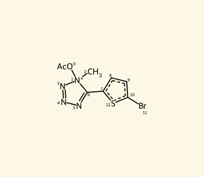 CC(=O)O[N+]1(C)N=NN=C1c1ccc(Br)s1